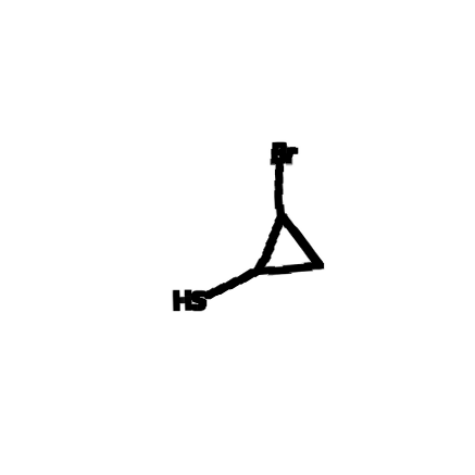 SC1CC1Br